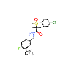 C=S(=O)(c1ccc(Cl)cc1)C(C)(C)C(=O)NCc1ccc(F)c(C(F)(F)F)c1